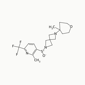 Cc1nc(C(F)(F)F)ccc1[S+]([O-])N1CC2(C1)CN(C1(C)CCOCC1)C2